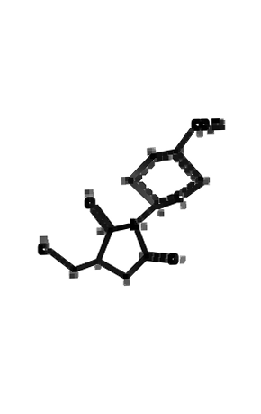 CCOC(=O)c1ccc(N2C(=O)CC(CCl)C2=O)cc1